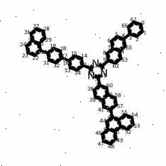 c1ccc(-c2ccc3cc(-c4nc(-c5ccc(-c6ccc(-c7cccc8ccccc78)cc6)cc5)nc(-c5ccc6cc(-c7cc8ccccc8c8ccccc78)ccc6c5)n4)ccc3c2)cc1